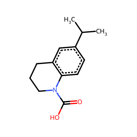 CC(C)c1ccc2c(c1)CCCN2C(=O)O